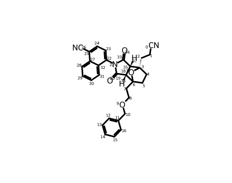 N#CCC[C@]12CCC(CCOCc3ccccc3)(O1)[C@@H]1C(=O)N(c3ccc(C#N)c4ccccc34)C(=O)[C@@H]12